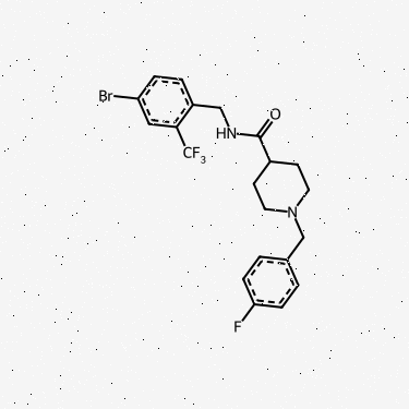 O=C(NCc1ccc(Br)cc1C(F)(F)F)C1CCN(Cc2ccc(F)cc2)CC1